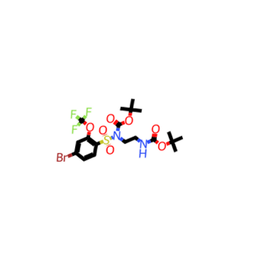 CC(C)(C)OC(=O)NCCN(C(=O)OC(C)(C)C)S(=O)(=O)c1ccc(Br)cc1OC(F)(F)F